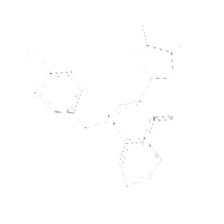 CC1SC(c2c[n+](Cc3ccc(Br)cc3)c3ccccn3c2=O)SC1C